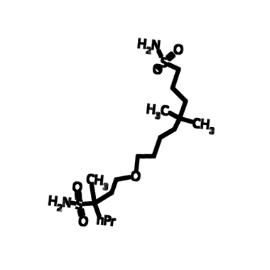 CCCC(C)(CCOCCCCC(C)(C)CCCS(N)(=O)=O)S(N)(=O)=O